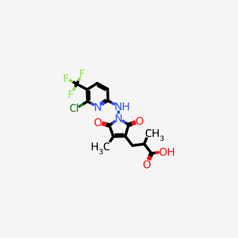 CC1=C(CC(C)C(=O)O)C(=O)N(Nc2ccc(C(F)(F)F)c(Cl)n2)C1=O